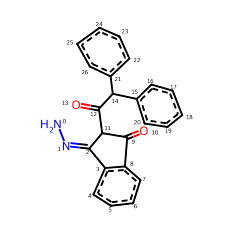 NN=C1c2ccccc2C(=O)C1C(=O)C(c1ccccc1)c1ccccc1